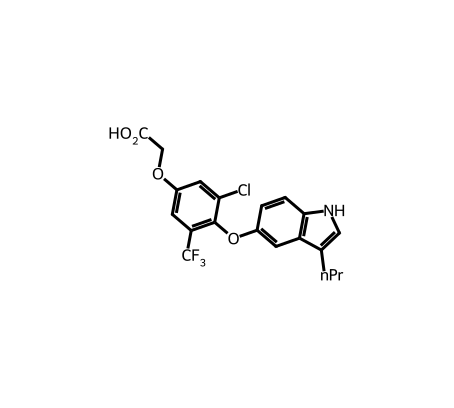 CCCc1c[nH]c2ccc(Oc3c(Cl)cc(OCC(=O)O)cc3C(F)(F)F)cc12